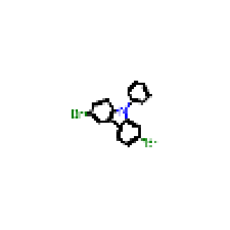 Brc1ccc2c(c1)c1ccc(Br)cc1n2-c1ccccc1